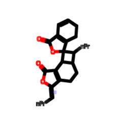 CCC/C=C1\OC(=O)C2=C1CCC1C(CCC)C3(OC(=O)C4=C3CCC=C4)C21